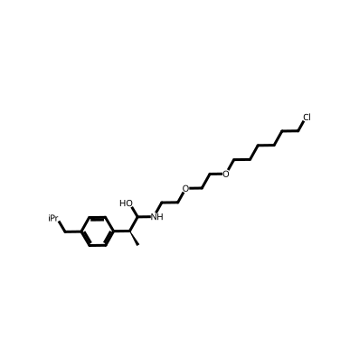 CC(C)Cc1ccc([C@H](C)C(O)NCCOCCOCCCCCCCl)cc1